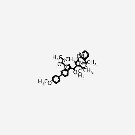 COc1ccc(-c2ccc3c(C(=O)c4cc(C)n5c4C(C)(C)SC5(C)c4cccnc4)cn(C(=O)N(C)C)c3c2)cc1